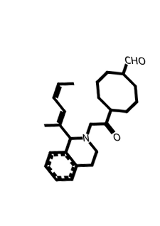 C/C=C\C=C(/C)C1c2ccccc2CCN1CC(=O)C1CCCC(C=O)CCC1